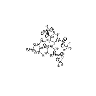 CC(C)(C)OC(=O)N1CCC(OS(C)(=O)=O)CC1.Cc1cc(Br)cc2ccn(C3CCN(C(=O)OC(C)(C)C)CC3)c12